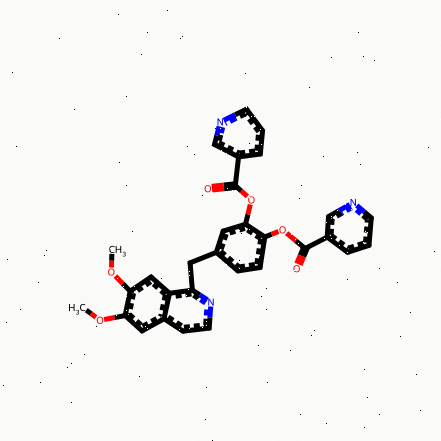 COc1cc2ccnc(Cc3ccc(OC(=O)c4cccnc4)c(OC(=O)c4cccnc4)c3)c2cc1OC